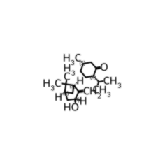 C=C1[C@H](O)C[C@@H]2C[C@H]1C2(C)C.CC(C)[C@H]1CC[C@H](C)CC1=O